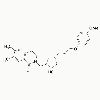 COc1ccc(OCCCN2CCC(CN3CCc4cc(C)c(C)cc4C3=O)C2)cc1.Cl